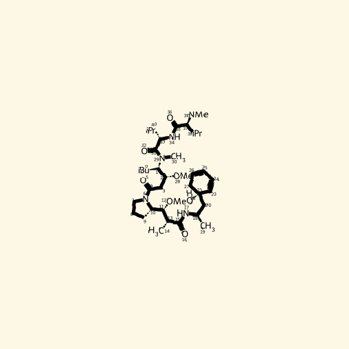 CC[C@H](C)[C@@H]([C@@H](CC(=O)N1CCC[C@H]1[C@H](OC)[C@@H](C)C(=O)N[C@H](C)C[C@]1(O)C=CC=CC1)OC)N(C)C(=O)[C@@H](NC(=O)[C@@H](NC)C(C)C)C(C)C